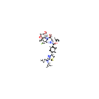 CC(C)C[C@H](NC(=O)c1ccc(C2CSC(N(C)C3CC3)=N2)cc1)C(=O)N1C[C@H](F)[C@H]2OCC(=O)[C@H]21